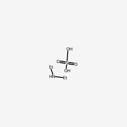 CCNCC.O=S(=O)(O)O